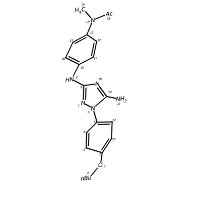 CCCCOc1ccc(-n2nc(Nc3ccc(N(C)C(C)=O)cc3)nc2N)cc1